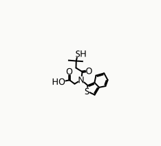 CC(C)(S)CC(=O)N(CC(=O)O)c1scc2ccccc12